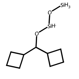 [SiH3]O[SiH]OC(C1CCC1)C1CCC1